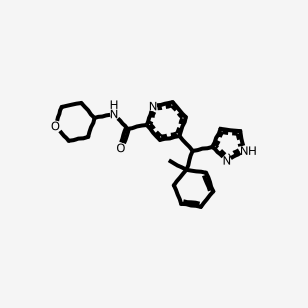 CC1(C(c2ccnc(C(=O)NC3CCOCC3)c2)c2cc[nH]n2)C=CC=CC1